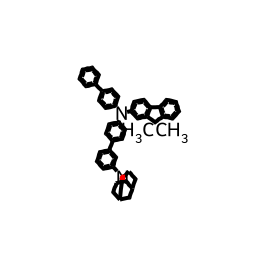 CC1(C)c2ccccc2-c2ccc(N(c3ccc(-c4ccccc4)cc3)c3ccc(-c4cccc(N5C6CC7CC(C6)CC5C7)c4)cc3)cc21